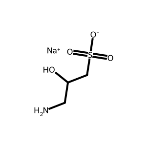 NCC(O)CS(=O)(=O)[O-].[Na+]